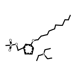 CCCCCCCCCCOc1cccc(COS(C)(=O)=O)c1.CCN(CC)CC